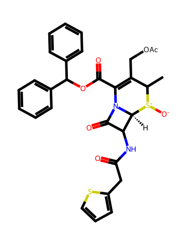 CC(=O)OCC1=C(C(=O)OC(c2ccccc2)c2ccccc2)N2C(=O)C(NC(=O)Cc3cccs3)[C@@H]2[S+]([O-])C1C